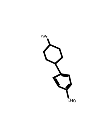 CCCC1CCC(c2ccc(C=O)cc2)CC1